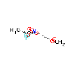 C=CC(=O)OCCCCCCCCCCCCOc1ccc2cc(-c3ccc(CCCCC)cc3OC(F)(F)F)c(=O)oc2n1